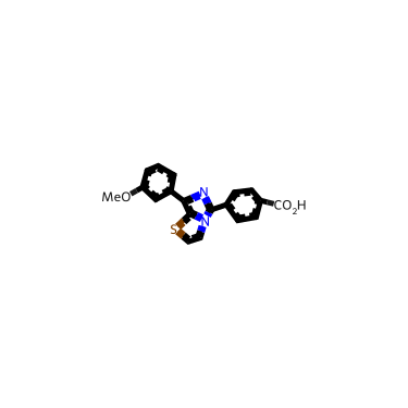 COc1cccc(-c2nc(-c3ccc(C(=O)O)cc3)n3ccsc23)c1